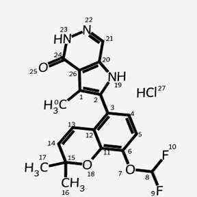 Cc1c(-c2ccc(OC(F)F)c3c2C=CC(C)(C)O3)[nH]c2cn[nH]c(=O)c12.Cl